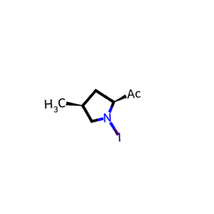 CC(=O)[C@@H]1C[C@H](C)CN1I